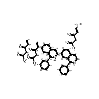 C=CC(=O)CC(=O)[O-].C=CC(=O)CC(=O)[O-].C=CC(=O)CC(=O)[O-].[In+3].c1ccc(-c2nccc3ccccc23)cc1.c1ccc(-c2nccc3ccccc23)cc1